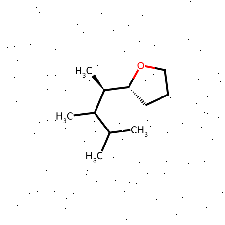 CC(C)C(C)[C@@H](C)[C@H]1CCCO1